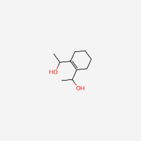 CC(O)C1=C(C(C)O)CCCC1